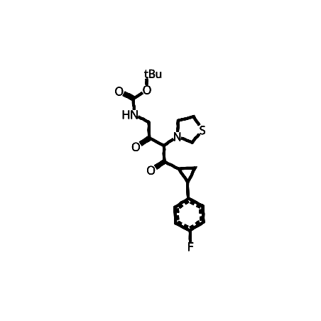 CC(C)(C)OC(=O)NCC(=O)C(C(=O)C1CC1c1ccc(F)cc1)N1CCSC1